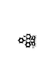 CN1CCCC2C1N(c1ccccc1)c1ccccc1S21C2C=NCCC2C2CCNCC21